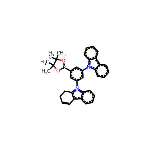 CC1(C)OB(c2cc(-n3c4c(c5ccccc53)C=CCC4)cc(-n3c4ccccc4c4ccccc43)c2)OC1(C)C